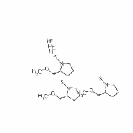 COC[C@@H]1CCCN1[S].COC[C@@H]1CCCN1[S].COC[C@@H]1CCCN1[S].F.F.F